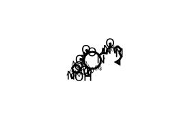 CO[C@]1(C)C[C@@H](C)CN(C)C(C2CN(C(=O)[C@H]3CCN(CC4CC4)C3)C2)COC(=O)C(C)(C)C(=O)[C@H](C)[C@H]1O[C@@H]1O[C@H](C)C[C@H](N(C)C)[C@H]1O